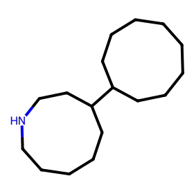 C1CCCCC(C2CCCCCNCC2)CCC1